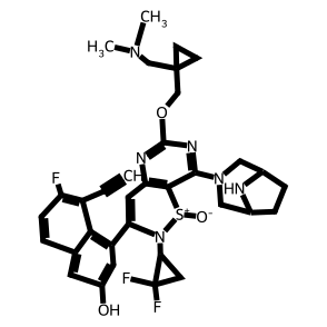 C#Cc1c(F)ccc2cc(O)cc(C3=Cc4nc(OCC5(CN(C)C)CC5)nc(N5CC6CCC(C5)N6)c4[S+]([O-])N3C3CC3(F)F)c12